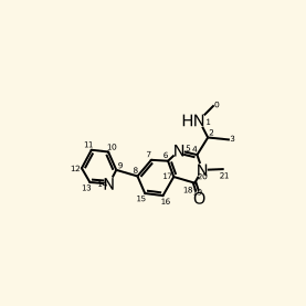 CNC(C)c1nc2cc(-c3ccccn3)ccc2c(=O)n1C